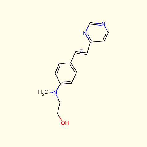 CN(CCO)c1ccc(/C=C/c2ccncn2)cc1